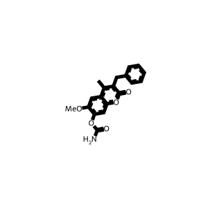 COc1cc2c(C)c(Cc3ccccc3)c(=O)oc2cc1OC(N)=O